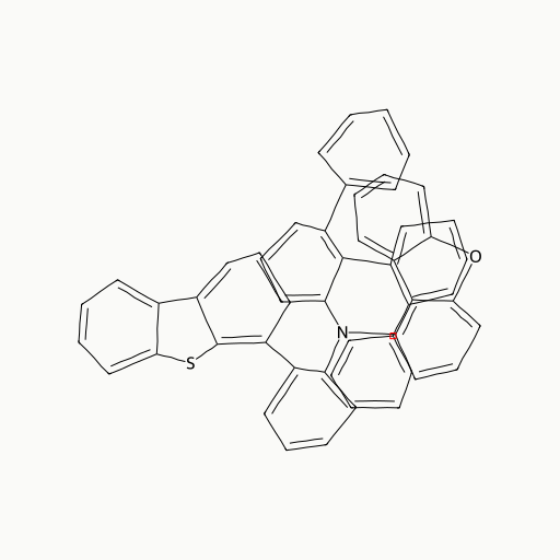 c1ccc(-c2ccccc2-c2c(-c3ccccc3)cccc2N(c2ccccc2-c2cccc3c2sc2ccccc23)c2cccc3oc4ccccc4c23)cc1